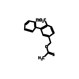 CCOC(=O)c1ccc(COC(C)=S)cc1-c1ccccc1